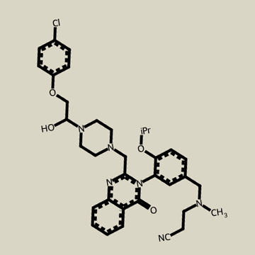 CC(C)Oc1ccc(CN(C)CCC#N)cc1-n1c(CN2CCN(C(O)COc3ccc(Cl)cc3)CC2)nc2ccccc2c1=O